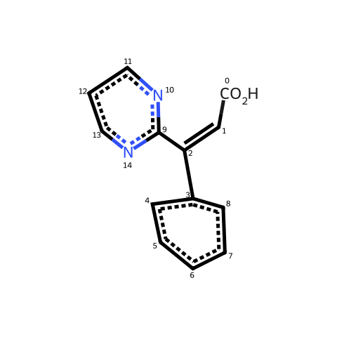 O=C(O)/C=C(/c1ccccc1)c1ncccn1